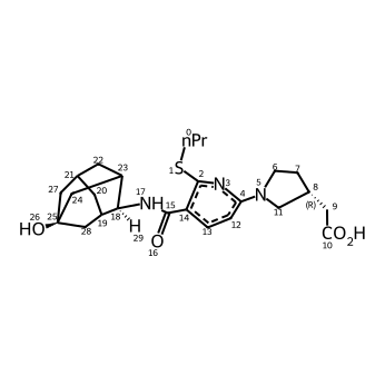 CCCSc1nc(N2CC[C@H](CC(=O)O)C2)ccc1C(=O)N[C@H]1C2CC3CC1C[C@@](O)(C3)C2